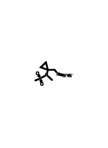 CN(C1(CN=[N+]=[N-])CC1)S(C)(=O)=O